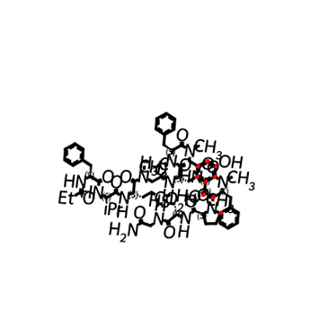 CCC(=O)N[C@@H](Cc1ccccc1)C(=O)N[C@H](C(=O)N[C@@H](CCC(=O)O)C(=O)N(C)CC(=O)N[C@@H](Cc1ccc(O)cc1)C(=O)N(C)[C@@H](Cc1ccccc1)C(=O)N(C)CC(=O)N[C@H](C(=O)N(C)[C@@H](Cc1ccccc1)C(=O)N1CCC[C@H]1C(=O)N[C@@H](CS)C(=O)NCC(N)=O)[C@@H](C)O)C(C)C